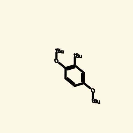 CC(C)(C)Oc1ccc(OC(C)(C)C)c(C(C)(C)C)c1